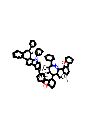 CCC1C(c2cccc3c2oc2ccccc23)=NC(c2ccccc2)C(C)C(C)C1c1cccc2oc3ccc(-c4ccc5c(c4)c4ccc6c(c4n5-c4ccccc4)C(C)C(c4ccccc4)Cc4ccccc4-6)cc3c12